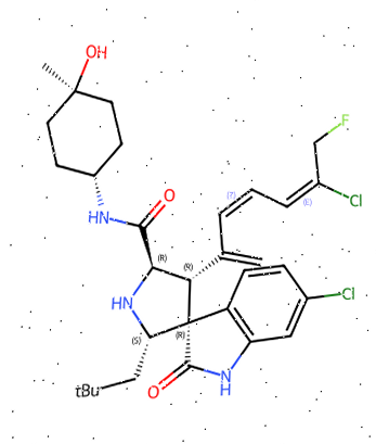 C=C(/C=C\C=C(\Cl)CF)[C@H]1[C@H](C(=O)N[C@H]2CC[C@](C)(O)CC2)N[C@@H](CC(C)(C)C)[C@@]12C(=O)Nc1cc(Cl)ccc12